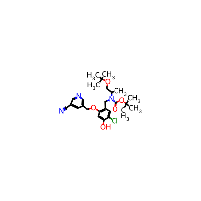 CC(COC(C)(C)C)N(Cc1cc(Cl)c(O)cc1OCc1cncc(C#N)c1)C(=O)OC(C)(C)C